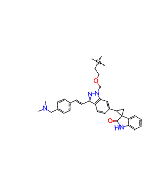 CN(C)Cc1ccc(C=Cc2nn(COCC[Si](C)(C)C)c3cc(C4CC45C(=O)Nc4ccccc45)ccc23)cc1